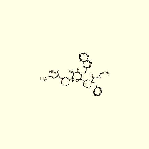 CCNC(=O)[C@]1(Cc2ccccc2)CCCN(C(=O)[C@@H](Cc2ccc3ccccc3c2)NC(=O)N[C@@H]2CCCN(C(=O)CC(C)N)C2)C1